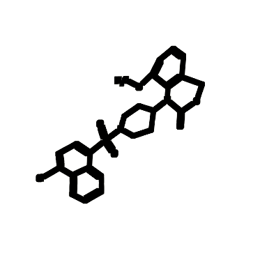 COc1cccc2c1N(C1CCN(S(=O)(=O)c3ccc(Cl)c4ccccc34)CC1)C(=O)OC2